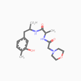 Cc1ccc(CC(NC(=O)C(C)NC(=O)CN2CCOCC2)C(=O)O)cc1O